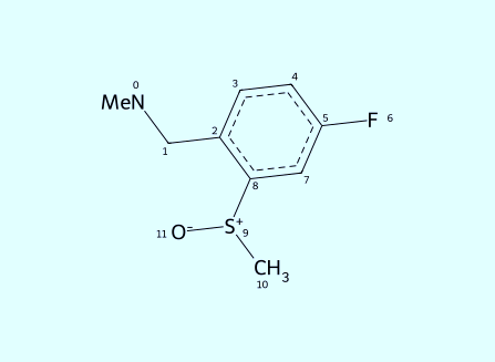 CNCc1ccc(F)cc1[S+](C)[O-]